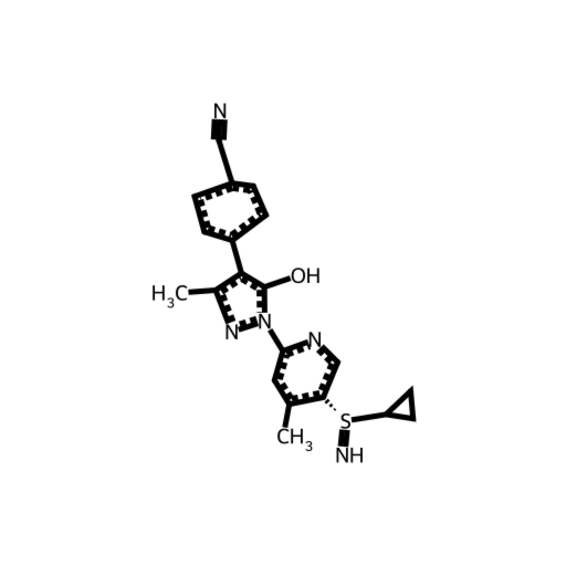 Cc1cc(-n2nc(C)c(-c3ccc(C#N)cc3)c2O)ncc1[S@@](=N)C1CC1